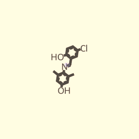 Cc1cc(O)cc(C)c1/N=C/c1cc(Cl)ccc1O